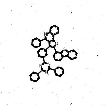 c1ccc(-c2nc(-c3ccccc3)nc(-c3cccc(-c4c(-c5cccc6c5sc5ccccc56)oc5c4c(-c4ccccc4)nc4ccccc45)c3)n2)cc1